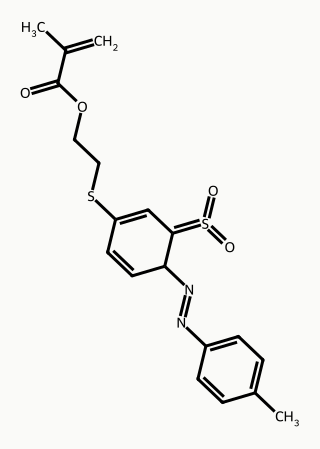 C=C(C)C(=O)OCCSC1=CC(=S(=O)=O)C(N=Nc2ccc(C)cc2)C=C1